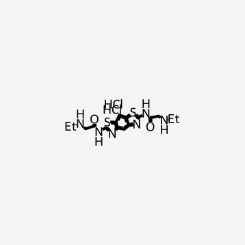 CCNCC(=O)Nc1nc2cc3nc(NC(=O)CNCC)sc3cc2s1.Cl.Cl